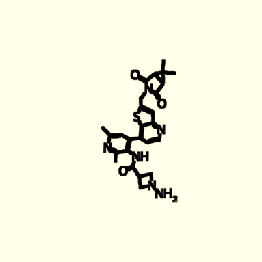 Cc1cc(-c2ccnc3cc(CN4C(=O)C5C(C4=O)C5(C)C)sc23)c(NC(=O)C2CN(N)C2)c(C)n1